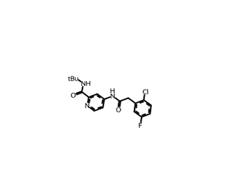 CC(C)(C)NC(=O)c1cc(NC(=O)Cc2cc(F)ccc2Cl)ccn1